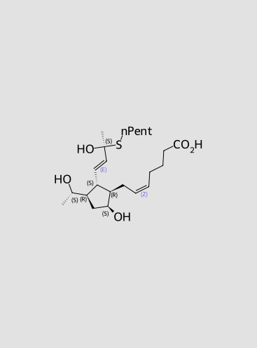 CCCCCS[C@](C)(O)/C=C/[C@H]1[C@H]([C@H](C)O)C[C@H](O)[C@@H]1C/C=C\CCCC(=O)O